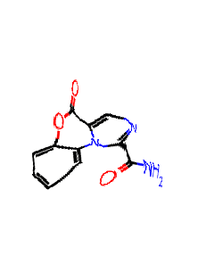 NC(=O)c1ncc2c(=O)oc3ccccc3n12